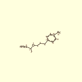 CCCCCCC(C)OCCCc1ccc(C(C)=O)cc1